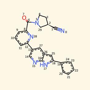 N#C[C@@H]1CCN(C(=O)c2cccc(-c3cnc4[nH]c(-c5ccccc5)cc4c3)n2)C1